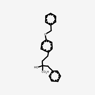 O=C(O)C(O)(CCc1ccc(OCc2ccccc2)cc1)Cc1ccccc1